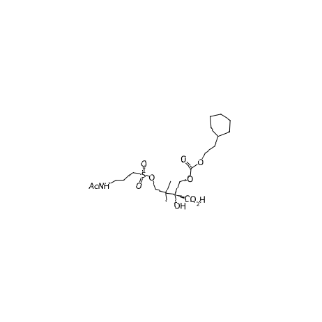 CC(=O)NCCCS(=O)(=O)OCC(C)(C)[C@@](O)(COC(=O)OCCC1CCCCC1)C(=O)O